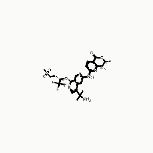 C[C@@H]1OC(=O)c2ccc(Nc3cc4c(C(C)(C)N)cnc(O[C@@H](CCS(C)(=O)=O)C(F)(F)F)c4cn3)nc2[C@H]1C